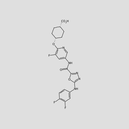 O=C(Nc1cnc(O[C@H]2CC[C@@H](C(=O)O)CC2)c(F)c1)c1nnc(Nc2ccc(F)c(F)c2)o1